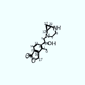 Cc1c([C@@H](O)CN2CCNC3CC32)ccc2c1COC2=O